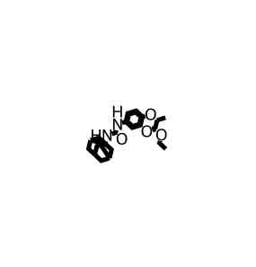 CCOC(=O)C(C)Oc1ccc(NC(=O)NC23CC4CC(CC(C4)C2)C3)cc1